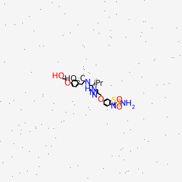 CC(C)[C@H](CN[C@@H](Cc1ccc(OCCO)cc1)C(=O)O)n1cc(COc2ccc3nc(S(N)(=O)=O)sc3c2)nn1